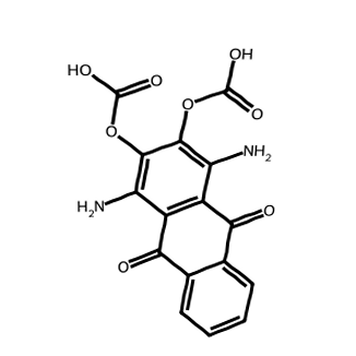 Nc1c(OC(=O)O)c(OC(=O)O)c(N)c2c1C(=O)c1ccccc1C2=O